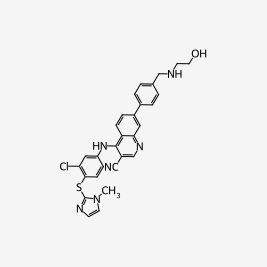 Cn1ccnc1Sc1ccc(Nc2c(C#N)cnc3cc(-c4ccc(CNCCO)cc4)ccc23)cc1Cl